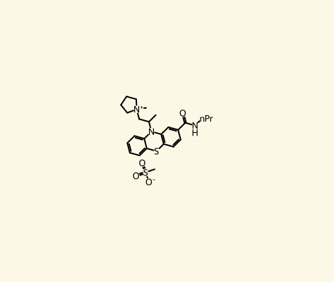 CCCNC(=O)c1ccc2c(c1)N(C(C)C[N+]1(C)CCCC1)c1ccccc1S2.CS(=O)(=O)[O-]